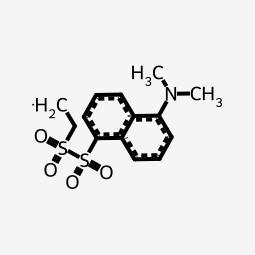 [CH2]CS(=O)(=O)S(=O)(=O)c1cccc2c(N(C)C)cccc12